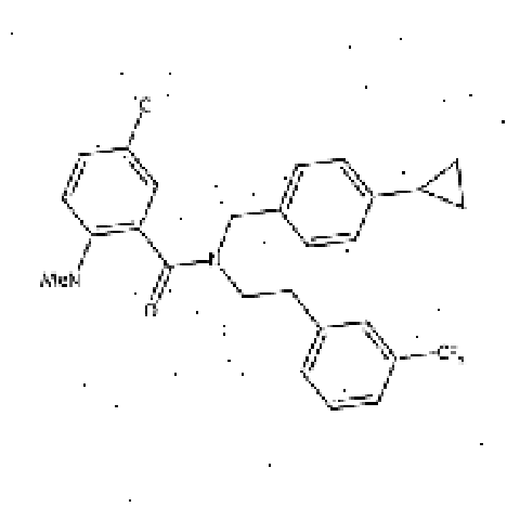 CNc1ccc(Cl)cc1C(=O)N(CCc1cccc(C(F)(F)F)c1)Cc1ccc(C2CC2)cc1